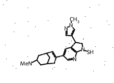 CNC1CC2C=C(c3cnc4c(c3)C(c3cnn(C)c3)CN4S)CC(C2)C1